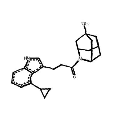 O=C(CCc1c[nH]c2cccc(C3CC3)c12)N1C2CC3CC1CC(O)(C3)C2